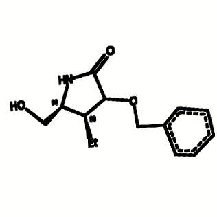 CC[C@@H]1C(OCc2ccccc2)C(=O)N[C@@H]1CO